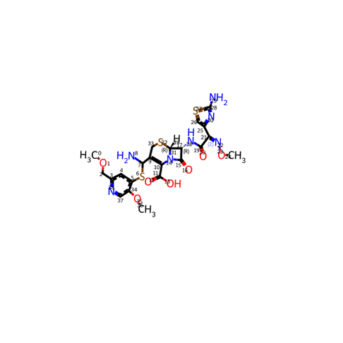 COCc1cc(SC(N)C2=C(C(=O)O)N3C(=O)[C@@H](NC(=O)/C(=N\OC)c4csc(N)n4)[C@H]3SC2)c(OC)cn1